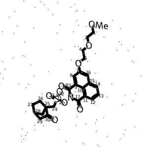 COCCOCCOc1cc2c3c(cccc3c1)C(=O)N(OS(=O)(=O)CC13CCC(CC1=O)C3)C2=O